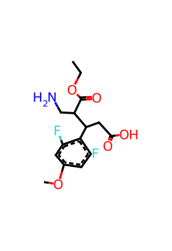 CCOC(=O)C(CN)C(CC(=O)O)c1c(F)cc(OC)cc1F